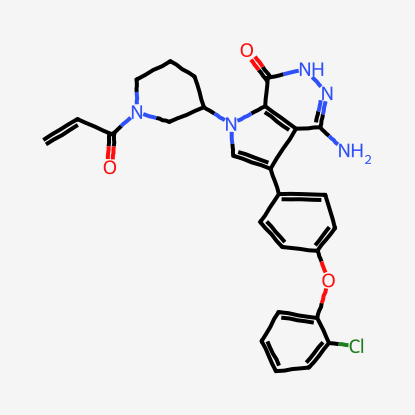 C=CC(=O)N1CCCC(n2cc(-c3ccc(Oc4ccccc4Cl)cc3)c3c(N)n[nH]c(=O)c32)C1